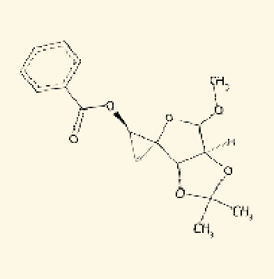 COC1O[C@@]2(C[C@H]2OC(=O)c2ccccc2)C2OC(C)(C)O[C@H]12